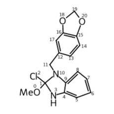 COC1(Cl)Nc2ccccc2N1Cc1ccc2c(c1)OCO2